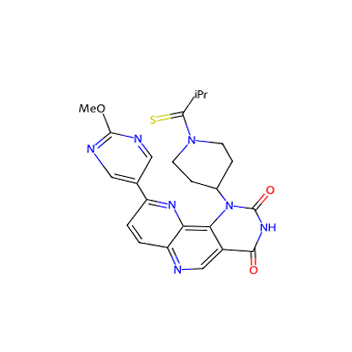 COc1ncc(-c2ccc3ncc4c(=O)[nH]c(=O)n(C5CCN(C(=S)C(C)C)CC5)c4c3n2)cn1